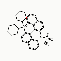 O=P(c1ccc2ccccc2c1-c1c(OS(=O)(=O)C(F)(F)F)ccc2ccccc12)(C1CCCCC1)C1CCCCC1